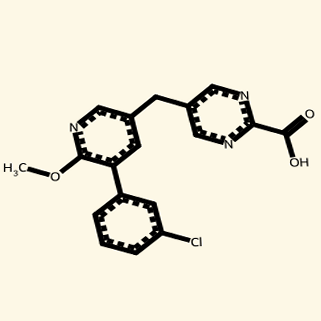 COc1ncc(Cc2cnc(C(=O)O)nc2)cc1-c1cccc(Cl)c1